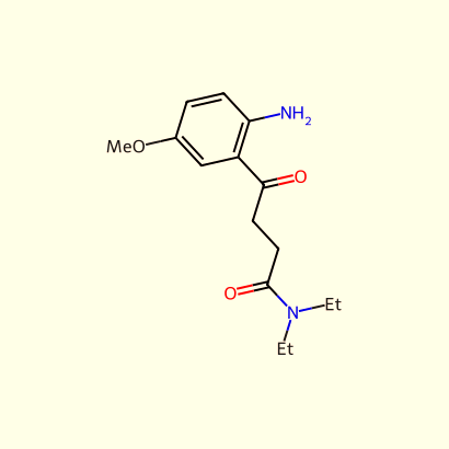 CCN(CC)C(=O)CCC(=O)c1cc(OC)ccc1N